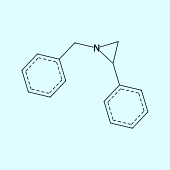 c1ccc(CN2CC2c2ccccc2)cc1